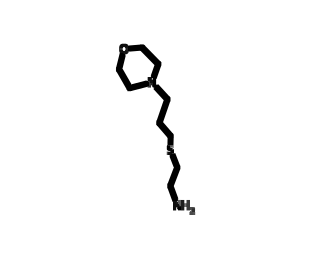 NCCSCCCN1CCOCC1